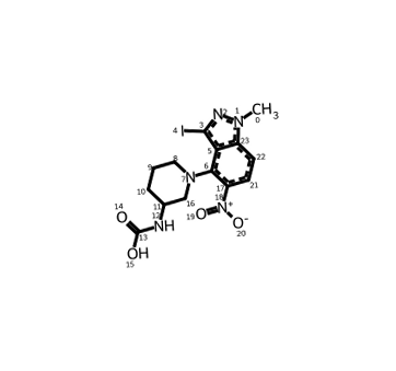 Cn1nc(I)c2c(N3CCCC(NC(=O)O)C3)c([N+](=O)[O-])ccc21